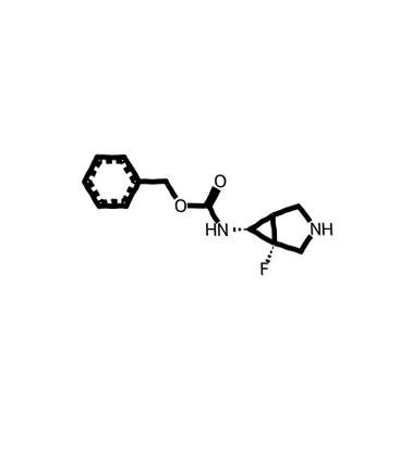 O=C(N[C@@H]1C2CNC[C@]21F)OCc1ccccc1